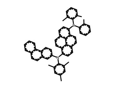 Cc1cc(C)c(N(c2ccc3c(ccc4ccccc43)c2)c2ccc3ccc4c(B(c5ccccc5C)c5c(C)cccc5C)ccc5ccc2c3c54)c(C)c1